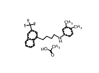 CC(=O)O.Cc1ccc(NCCCCc2cc(C(F)(F)F)cc3ccccc23)cc1C